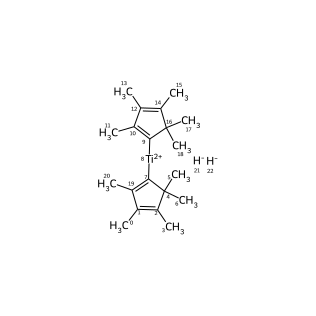 CC1=C(C)C(C)(C)[C]([Ti+2][C]2=C(C)C(C)=C(C)C2(C)C)=C1C.[H-].[H-]